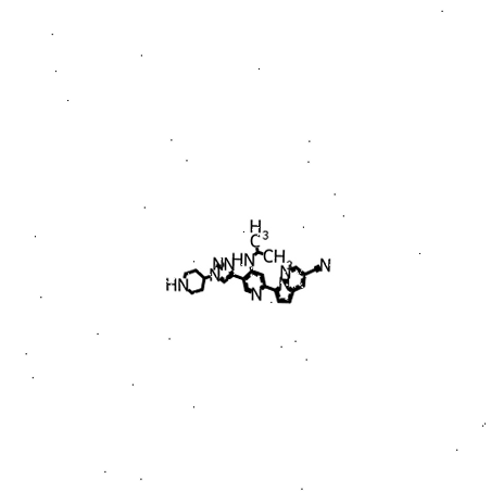 CC(C)Nc1cc(-c2ccc3cc(C#N)cnn23)ncc1-c1cn(C2CCNCC2)nn1